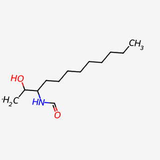 [CH2]C(O)C(CCCCCCCCC)NC=O